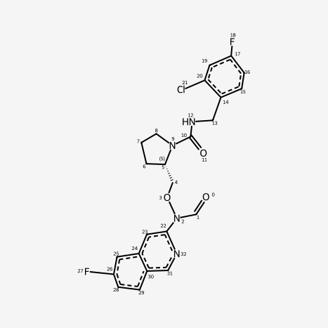 O=CN(OC[C@@H]1CCCN1C(=O)NCc1ccc(F)cc1Cl)c1cc2cc(F)ccc2cn1